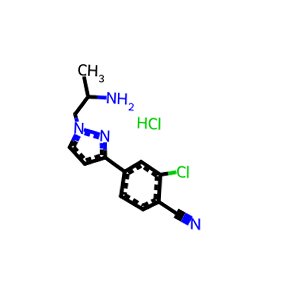 CC(N)Cn1ccc(-c2ccc(C#N)c(Cl)c2)n1.Cl